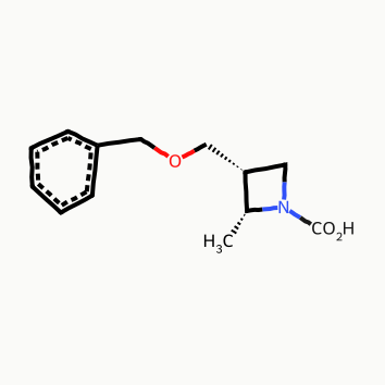 C[C@@H]1[C@H](COCc2ccccc2)CN1C(=O)O